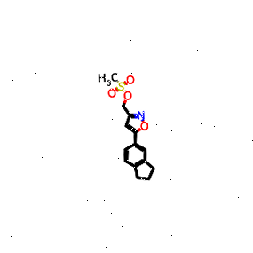 CS(=O)(=O)OCc1cc(-c2ccc3c(c2)CCC3)on1